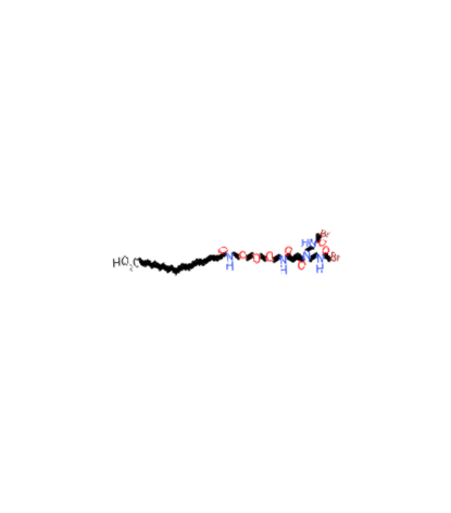 O=C(O)CCCCCCCCCCCCCCCCC(=O)NCCOCCOCCOCCNC(=O)CCC(=O)N(CCNC(=O)CBr)CCNC(=O)CBr